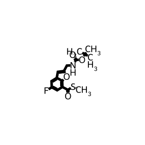 CSC(=O)c1cc(F)cc2cc(CNC(=O)OC(C)(C)C)oc12